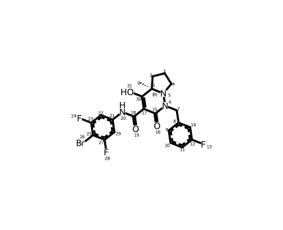 C[C@]12CCCN1N(Cc1cccc(F)c1)C(=O)C(C(=O)Nc1cc(F)c(Br)c(F)c1)=C2O